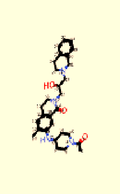 CC(=O)N1CCC(Nc2cc3c(cc2C)CCN(CC(O)CN2CCc4ccccc4C2)C3=O)CC1